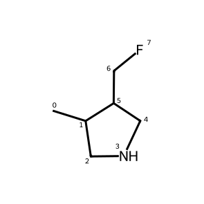 CC1CNCC1CF